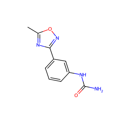 Cc1nc(-c2cccc(NC(N)=O)c2)no1